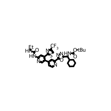 CCNC(=O)Nc1cc(-c2nc(C(F)(F)F)cs2)c(-c2ccnc(-c3nnc([C@@H](NC(=O)OC(C)(C)C)C4CCCCC4)o3)c2)cn1